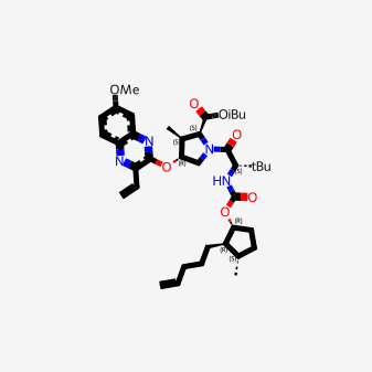 C=CCCC[C@@H]1[C@@H](C)CC[C@H]1OC(=O)N[C@H](C(=O)N1C[C@H](Oc2nc3cc(OC)ccc3nc2C=C)[C@@H](C)[C@H]1C(=O)OCC(C)C)C(C)(C)C